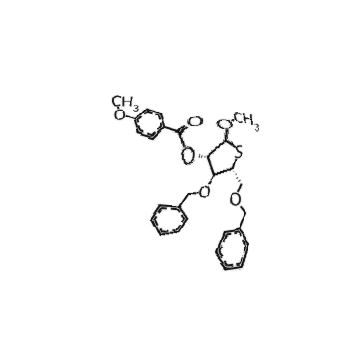 COc1ccc(C(=O)O[C@@H]2C(OC)S[C@H](COCc3ccccc3)[C@H]2OCc2ccccc2)cc1